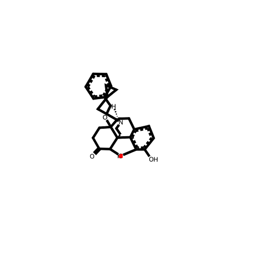 O=C1CCC2(OCc3ccccc3)[C@H]3Cc4ccc(O)c5c4[C@@]2(CCN3CC2CC2)[C@H]1O5